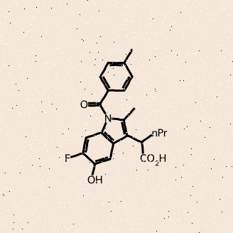 CCCC(C(=O)O)c1c(C)n(C(=O)c2ccc(C)cc2)c2cc(F)c(O)cc12